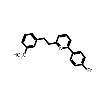 CC(C)c1ccc(-c2cccc(CCc3cccc(C(=O)O)c3)n2)cc1